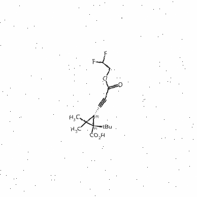 CC(C)(C)[C@]1(C(=O)O)[C@@H](C#CC(=O)OCC(F)F)C1(C)C